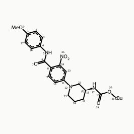 COc1ccc(NC(=O)c2ccc(N3CCC[C@H](NC(=O)OC(C)(C)C)C3)cc2[N+](=O)[O-])cc1